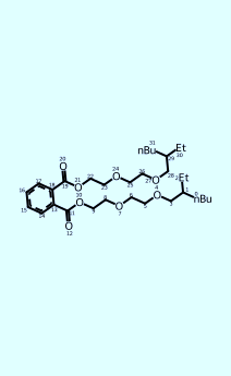 CCCCC(CC)COCCOCCOC(=O)c1ccccc1C(=O)OCCOCCOCC(CC)CCCC